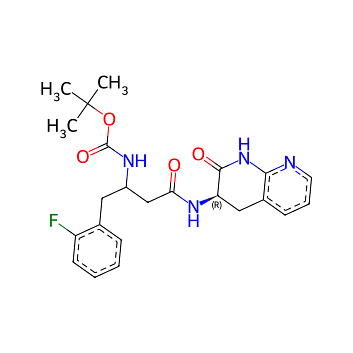 CC(C)(C)OC(=O)NC(CC(=O)N[C@@H]1Cc2cccnc2NC1=O)Cc1ccccc1F